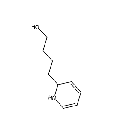 OCCCCC1C=CC=CN1